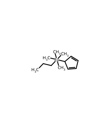 CC[CH2][Eu]([CH3])([CH3])([CH3])([CH3])[CH]1C=CC=C1